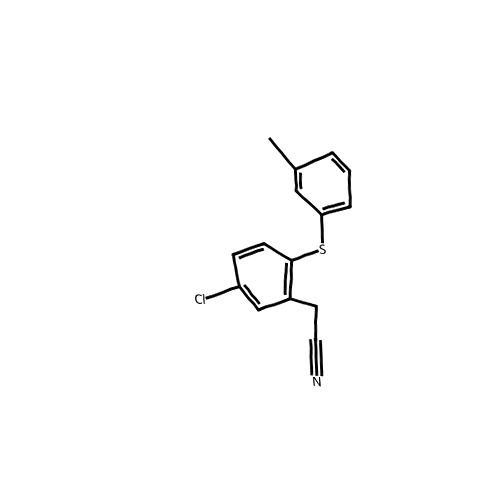 Cc1cccc(Sc2ccc(Cl)cc2CC#N)c1